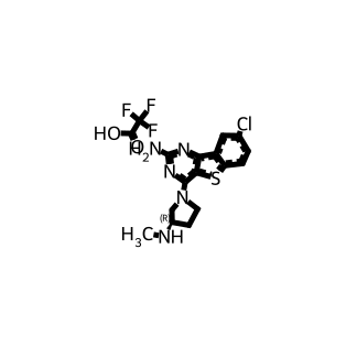 CN[C@@H]1CCN(c2nc(N)nc3c2sc2ccc(Cl)cc23)C1.O=C(O)C(F)(F)F